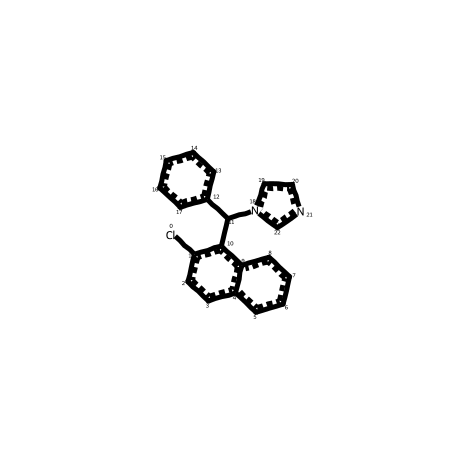 Clc1ccc2ccccc2c1C(c1ccccc1)n1ccnc1